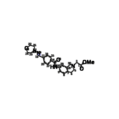 COC(=O)CN1CCc2ccc(NC(=O)c3ccc(/C=N/N4CCOCC4)cc3)cc2C1